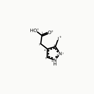 O=C(O)Cc1c[nH]nc1I